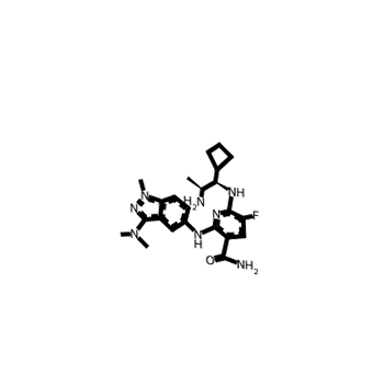 C[C@H](N)[C@H](Nc1nc(Nc2ccc3c(c2)c(N(C)C)nn3C)c(C(N)=O)cc1F)C1CCC1